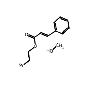 CC(C)CCOC(=O)C=Cc1ccccc1.CO